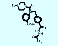 CCN1CCN(C(=O)N(Cc2ccc(C(=O)NNC(=O)C(F)(F)F)cc2)c2cccc(OC)c2)CC1